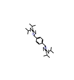 CC(C)N(/N=C/c1ccc(/C=N/N(C(C)C)C(C)C)cc1)C(C)C